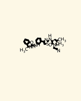 CC(C)C[C@H](Nc1nc(-c2cccc(NC(=O)N[C@H](C)c3ccccc3)c2)cs1)C(=O)NCC#N